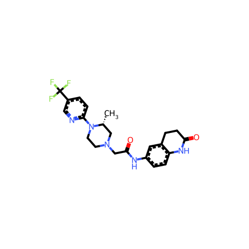 C[C@@H]1CN(CC(=O)Nc2ccc3c(c2)CCC(=O)N3)CCN1c1ccc(C(F)(F)F)cn1